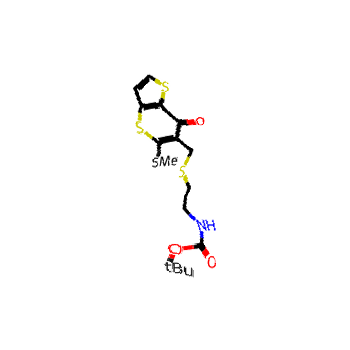 CSc1sc2ccsc2c(=O)c1CSCCNC(=O)OC(C)(C)C